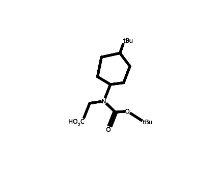 CC(C)(C)OC(=O)N(CC(=O)O)C1CCC(C(C)(C)C)CC1